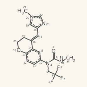 CNC(=O)N(CC(F)(F)F)c1ccc2c(c1)/C(=C/c1cn(C)cn1)CCO2